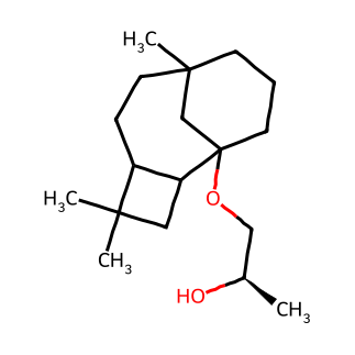 C[C@@H](O)COC12CCCC(C)(CCC3C1CC3(C)C)C2